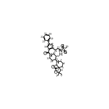 CC1(C)CC2(CCCN(C3CCN(C(=O)c4cc(-c5ccccc5)sc4CCNS(C)(=O)=O)CC3)C2)C(=O)O1